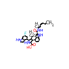 C=C/C=C\C=C(/C)NC(=O)c1cc2c(-c3c(C(=O)O)[nH]c(-c4cc(F)cc5[nH]ccc45)c3C(C)C)cccc2[nH]1